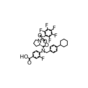 O=C(O)c1ccc(N(Cc2ccc(C3CCCCC3)cc2)C(=O)[C@H]2CCCN2S(=O)(=O)c2c(F)c(F)c(F)c(F)c2F)c(F)c1